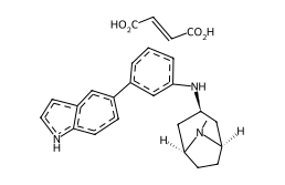 CN1[C@@H]2CC[C@H]1C[C@@H](Nc1cccc(-c3ccc4[nH]ccc4c3)c1)C2.O=C(O)/C=C/C(=O)O